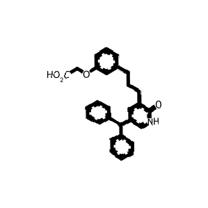 O=C(O)COc1cccc(CCCc2cc(C(c3ccccc3)c3ccccc3)c[nH]c2=O)c1